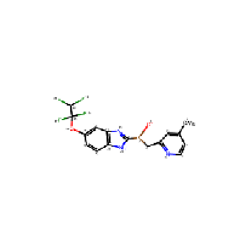 COc1ccnc(C[S+]([O-])c2nc3cc(OC(F)(F)C(F)F)ccc3[nH]2)c1